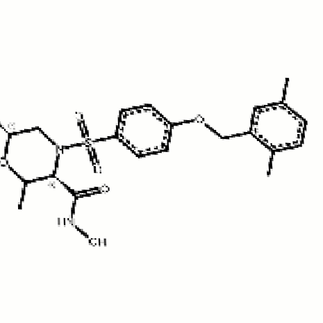 Cc1ccc(C)c(COc2ccc(S(=O)(=O)N3C[C@H](C)OC(C)[C@@H]3C(=O)NO)cc2)c1